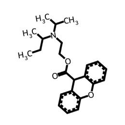 CCC(C)N(CCOC(=O)C1c2ccccc2Oc2ccccc21)C(C)C